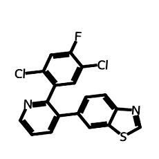 Fc1cc(Cl)c(-c2ncccc2-c2ccc3ncsc3c2)cc1Cl